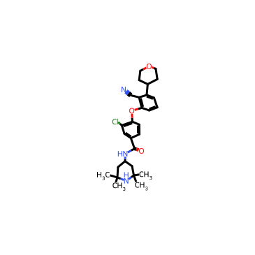 CC1(C)CC(NC(=O)c2ccc(Oc3cccc(C4CCOCC4)c3C#N)c(Cl)c2)CC(C)(C)N1